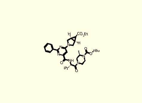 CCCCOC(=O)N1CCN(C(=O)[C@@H](NC(=O)c2cc(N3C[C@@H]4[C@H](C3)[C@@H]4C(=O)OCC)nc(-c3ccccc3)n2)C(C)C)C[C@H]1C